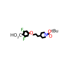 CC(C)(C)OC(=O)N1CCC(CCCOc2cc(F)c(C(=O)O)c(F)c2)CC1